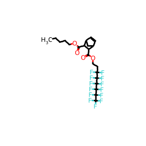 CCCCCOC(=O)C1C2C=CC(C2)C1C(=O)OCCC(F)(F)C(F)(F)C(F)(F)C(F)(F)C(F)(F)C(F)(F)F